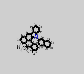 CC1(C)c2ccccc2-c2c3c1cccc3cc1c3ccccc3n(-c3ccc4ccccc4c3)c21